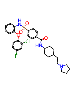 O=C(NC1CCC(CCN2CCCC2)CC1)c1ccc(S(=O)(=O)Nc2ccccc2Oc2ccc(F)cc2Cl)cc1